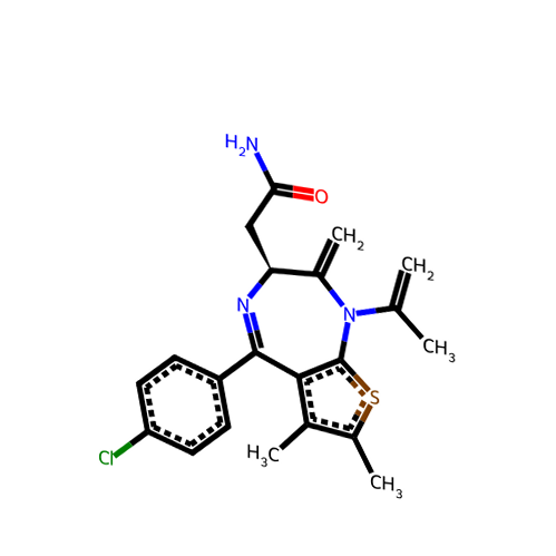 C=C(C)N1C(=C)[C@H](CC(N)=O)N=C(c2ccc(Cl)cc2)c2c1sc(C)c2C